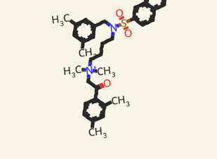 Cc1cc(C)cc(CN(CCCC[N+](C)(C)CC(=O)c2ccc(C)cc2C)S(=O)(=O)c2ccc3ccccc3c2)c1